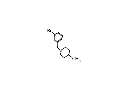 CC1CCN(Cc2cccc(Br)c2)CC1